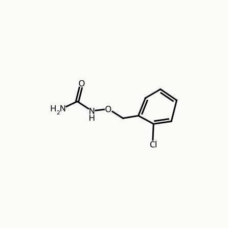 NC(=O)NOCc1ccccc1Cl